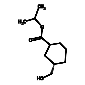 CC(C)OC(=O)C1CCC[C@H](CO)C1